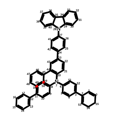 C1=CC(c2ccc(N(c3ccc(-c4ccccc4)cc3)c3ccc(-c4ccc(-n5c6ccccc6c6ccccc65)cc4)cc3-c3ccccc3)cc2)=CCC1